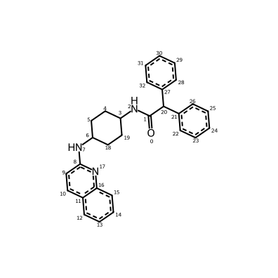 O=C(NC1CCC(Nc2ccc3ccccc3n2)CC1)C(c1ccccc1)c1ccccc1